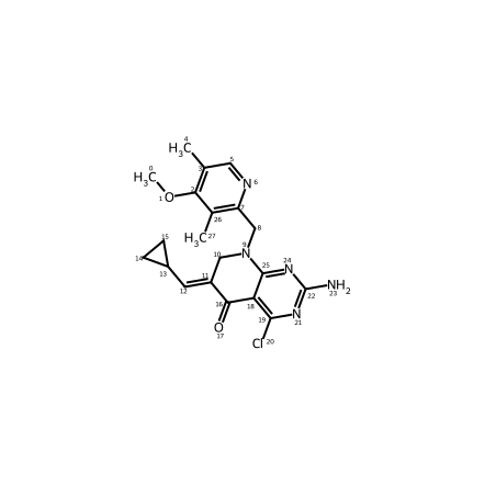 COc1c(C)cnc(CN2C/C(=C\C3CC3)C(=O)c3c(Cl)nc(N)nc32)c1C